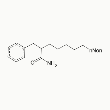 CCCCCCCCCCCCCCC(Cc1ccccc1)C(N)=O